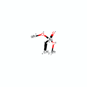 C=C[As](=O)(OCCC)OCCC